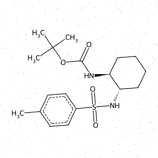 Cc1ccc(S(=O)(=O)N[C@H]2CCCC[C@@H]2NC(=O)OC(C)(C)C)cc1